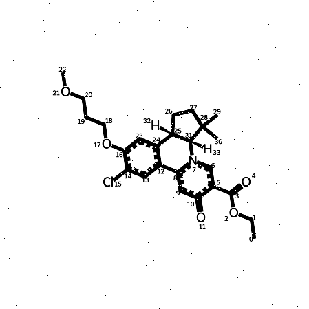 CCOC(=O)c1cn2c(cc1=O)-c1cc(Cl)c(OCCCOC)cc1[C@@H]1CCC(C)(C)[C@@H]12